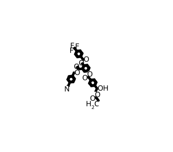 C=CC(=O)OCC(O)c1ccc(C(=O)Oc2ccc(OC(=O)c3ccc(C(F)(F)F)cc3)c(C(=O)OCc3ccc(C#N)cc3)c2)cc1